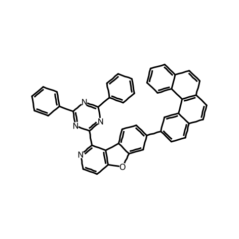 c1ccc(-c2nc(-c3ccccc3)nc(-c3nccc4oc5cc(-c6ccc7ccc8ccc9ccccc9c8c7c6)ccc5c34)n2)cc1